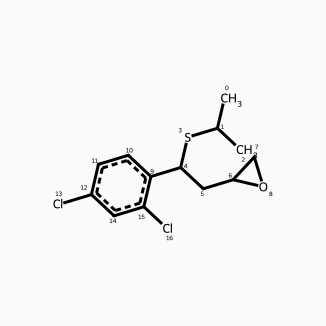 CC(C)SC(CC1CO1)c1ccc(Cl)cc1Cl